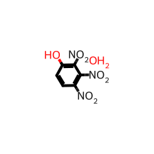 O.O=[N+]([O-])c1ccc(O)c([N+](=O)[O-])c1[N+](=O)[O-]